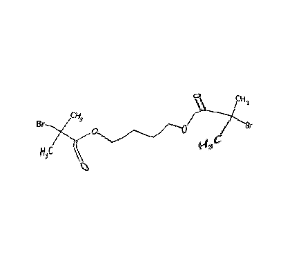 CC(C)(Br)C(=O)OCCCCOC(=O)C(C)(C)Br